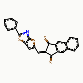 S=C1C(=Cc2cc3sc(-c4ccccc4)nc3s2)C(=S)c2cc3ccccc3cc21